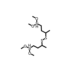 CO[SiH](CCC(C)SSC(C)CC[SiH](OC)OC)OC